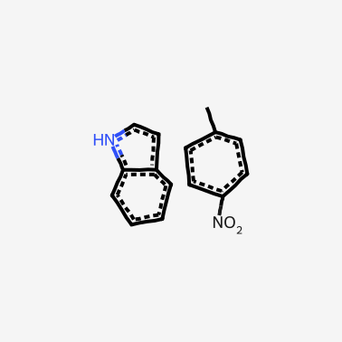 Cc1ccc([N+](=O)[O-])cc1.c1ccc2[nH]ccc2c1